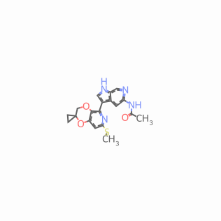 CSc1cc2c(c(-c3c[nH]c4cnc(NC(C)=O)cc34)n1)OCC1(CC1)O2